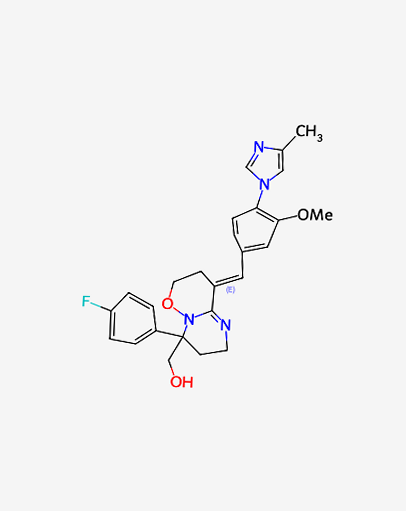 COc1cc(/C=C2\CCON3C2=NCCC3(CO)c2ccc(F)cc2)ccc1-n1cnc(C)c1